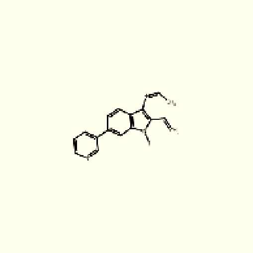 C=Cc1c(/N=C\C)c2ccc(-c3cccnc3)cc2n1I